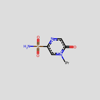 CC(C)n1cc(S(N)(=O)=O)ncc1=O